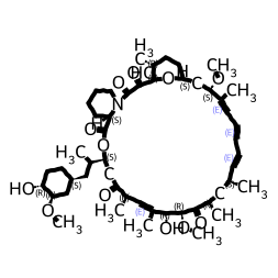 CO[C@H]1C[C@@H]2CC[C@@H](C)[C@@](O)(O2)C(=O)C(=O)N2CCCC[C@H]2C(=O)O[C@H](C(C)C[C@@H]2CC[C@@H](O)[C@H](OC)C2)CC(=O)[C@H](C)/C=C(\C)[C@@H](O)[C@@H](OC)C(=O)[C@H](C)C[C@H](C)/C=C/C=C/C=C/1C